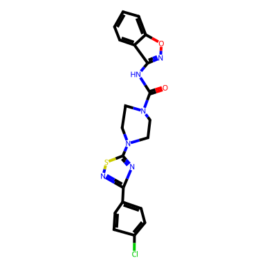 O=C(Nc1noc2ccccc12)N1CCN(c2nc(-c3ccc(Cl)cc3)ns2)CC1